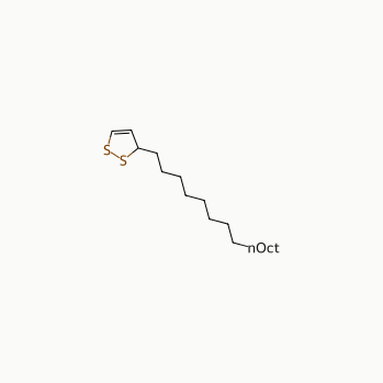 CCCCCCCCCCCCCCCCC1C=CSS1